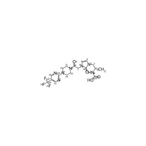 CC(Cn1ccn(CC(=O)N2CCN(c3ncc(C(F)(F)F)cn3)CC2)c1=O)NC(=O)O